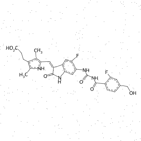 Cc1[nH]c(/C=C2\C(=O)Nc3cc(NC(=O)NC(=O)c4ccc(CO)cc4F)c(F)cc32)c(C)c1CCC(=O)O